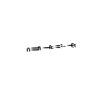 CCB=BB=O